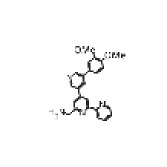 COc1ccc(-c2cncc(-c3cc(CN)nc(-c4ccccn4)c3)c2)cc1OC